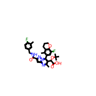 Cc1cc(CNC(=O)c2cc3nc(C)c([C@@H](OC(C)(C)C)C(=O)O)c(-c4cc(F)c5c(c4C)CCCO5)n3n2)ccc1F